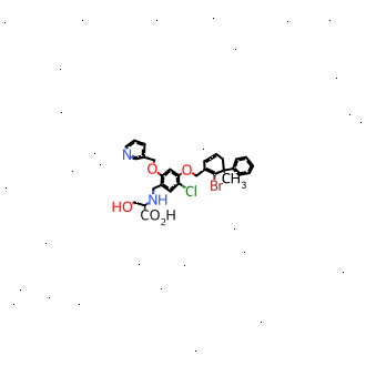 C[C@@]1(c2ccccc2)CC=CC(COc2cc(OCc3cccnc3)c(CN[C@H](CO)C(=O)O)cc2Cl)=C1Br